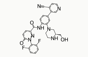 N#Cc1ccncc1-c1ccc(NC(=O)c2ccc(=O)n(-c3c(F)cccc3F)n2)c(N2CCN[C@H](CO)C2)c1